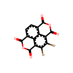 O=C1OC(=O)c2c(Br)c(Br)c3c4c(ccc1c24)C(=O)OC3=O